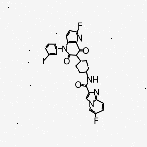 O=C(NC1CCC(C2C(=O)c3nc(F)ccc3N(c3cccc(I)c3)C2=O)CC1)c1cn2cc(F)ccc2n1